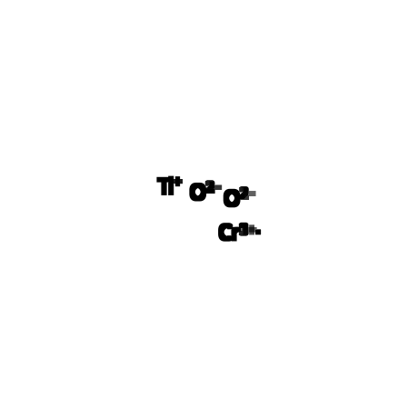 [Cr+3].[O-2].[O-2].[Tl+]